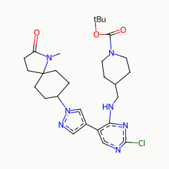 CN1C(=O)CCC12CCC(n1cc(-c3cnc(Cl)nc3NCC3CCN(C(=O)OC(C)(C)C)CC3)cn1)CC2